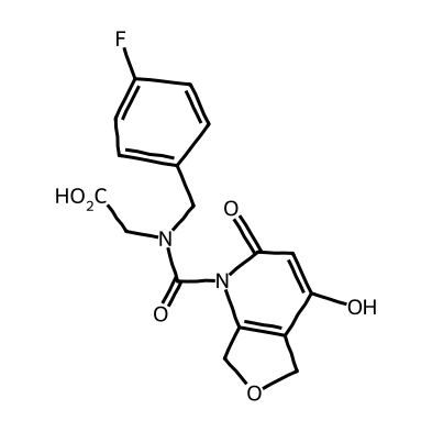 O=C(O)CN(Cc1ccc(F)cc1)C(=O)n1c2c(c(O)cc1=O)COC2